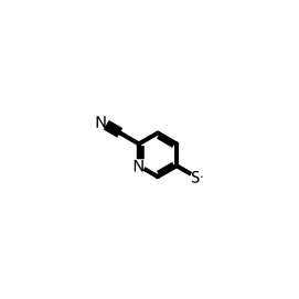 N#Cc1ccc([S])cn1